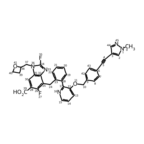 Cn1cc(C#Cc2ccc(COc3cccnc3-c3ccccc3Cc3c(F)c(C(=O)O)cc4c3nc(F)n4CC3CCO3)cc2)cn1